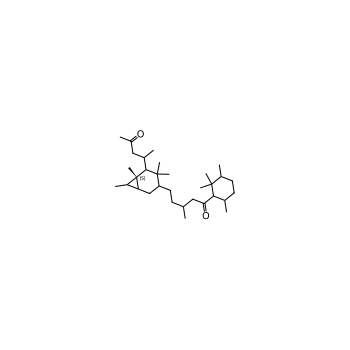 CC(=O)CC(C)C1C(C)(C)C(CCC(C)CC(=O)C2C(C)CCC(C)C2(C)C)CC2C(C)[C@@]21C